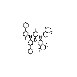 Cc1cc2c3c(c1)N(c1cc(-c4ccccc4)ccc1C)c1ccc(-c4ccccc4)cc1B3c1cc3c(cc1N2c1ccc2c(c1)C(C)(C)CCC2(C)C)C(C)(C)CCC3(C)C